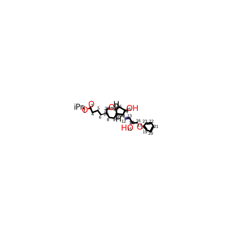 CC(C)OC(=O)CCC[C@@H]1CC[C@@H]2[C@@H](/C=C/[C@@H](O)COc3ccccc3)[C@H](O)C[C@@H]2OC1